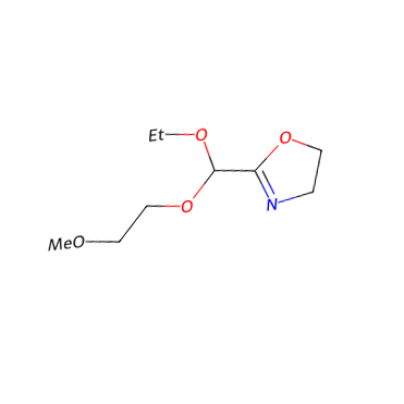 CCOC(OCCOC)C1=NCCO1